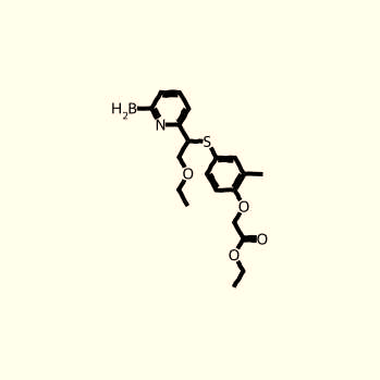 Bc1cccc(C(COCC)Sc2ccc(OCC(=O)OCC)c(C)c2)n1